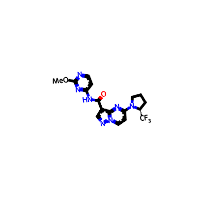 COc1nccc(NC(=O)c2cnn3ccc(N4CCC[C@@H]4C(F)(F)F)nc23)n1